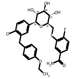 CCOc1ccc(Cc2cc([C@@H]3O[C@H](CSc4cc(C(N)=O)ccc4F)[C@@H](O)[C@H](O)[C@H]3O)ccc2Cl)cc1